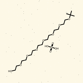 CC(C)(C)OCCOCCOCCOCCOCCOCCOCCO.O=S(=O)(O)O